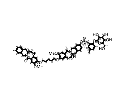 COc1cc2c(cc1OCCCCCOc1cc3c(cc1OC)C(=O)N1Cc4cc(OS(=O)(=O)Oc5cc(C)ccc5OC5O[C@H](CO)[C@H](O)[C@H](O)[C@H]5O)ccc4C[C@H]1C=N3)N=C[C@@H]1Cc3ccccc3CN1C2=O